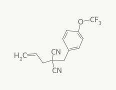 C=CCC(C#N)(C#N)Cc1ccc(OC(F)(F)F)cc1